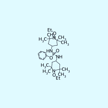 CCON1C(C)(C)CC(NP(=O)(NC2CC(C)(C)N(OCC)C(C)(C)C2)Oc2ccccc2)CC1(C)C